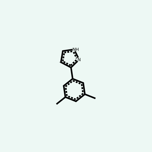 Cc1cc(C)cc(-c2[c]c[nH]n2)c1